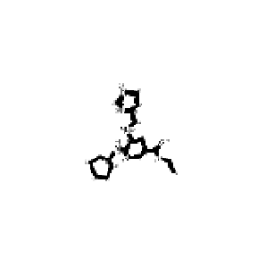 CCOC(=O)c1cnc(NC2CCCCC2)c(NCc2ccncn2)c1